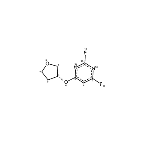 Fc1cc(O[C@@H]2CCOC2)nc(F)n1